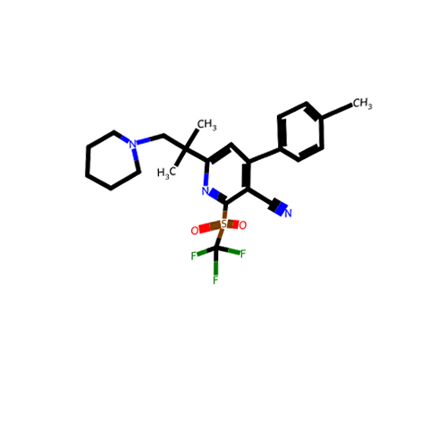 Cc1ccc(-c2cc(C(C)(C)CN3CCCCC3)nc(S(=O)(=O)C(F)(F)F)c2C#N)cc1